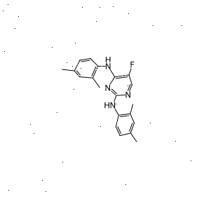 Cc1ccc(Nc2ncc(F)c(Nc3ccc(C)cc3C)n2)c(C)c1